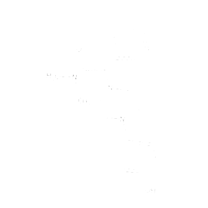 CN(C)C(=O)C(c1ccccc1)N1CCN(c2ccc(O)cc2)CC1